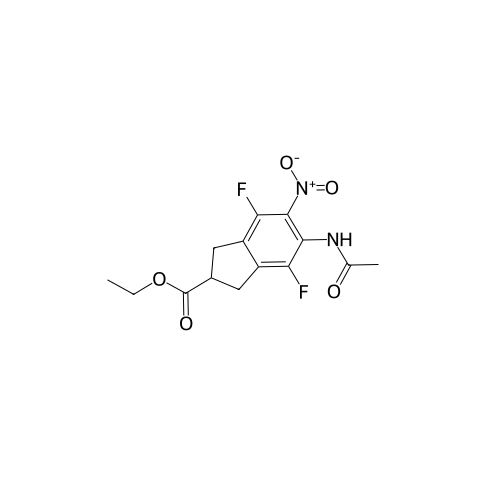 CCOC(=O)C1Cc2c(F)c(NC(C)=O)c([N+](=O)[O-])c(F)c2C1